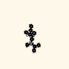 c1ccc(-c2ccc(-c3c4c(cc5c(-c6ccc(-c7nc(-c8ccccc8)nc(-c8cc(-c9ccccc9)cc(-c9ccccc9)c8)n7)cc6)nc6ccccc6c35)oc3ccccc34)cc2)cc1